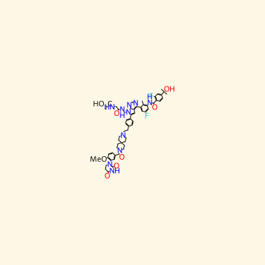 COc1ccc(C(=O)N2CCC3(CCN(CCc4ccc(-c5cc6c(-c7cc(F)cc(NC(=O)c8ccc(C(C)(C)O)cc8F)c7C)ncnc6n5CNC(=O)CNC(=O)O)cc4)CC3)CC2)cc1N1CCC(=O)NC1=O